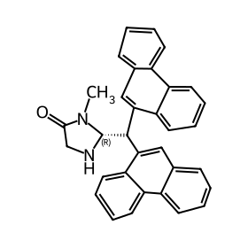 CN1C(=O)CN[C@H]1C(c1cc2ccccc2c2ccccc12)c1cc2ccccc2c2ccccc12